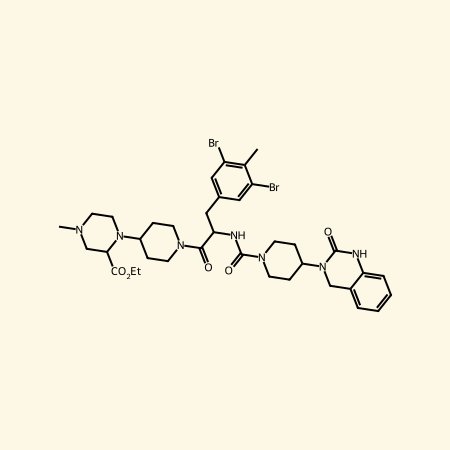 CCOC(=O)C1CN(C)CCN1C1CCN(C(=O)C(Cc2cc(Br)c(C)c(Br)c2)NC(=O)N2CCC(N3Cc4ccccc4NC3=O)CC2)CC1